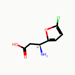 N[C@@H](CC(=O)O)c1ccc(Cl)o1